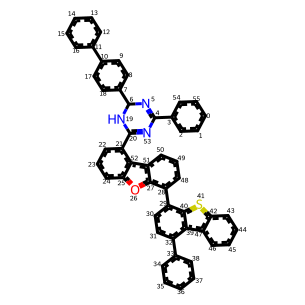 c1ccc(C2=NC(c3ccc(-c4ccccc4)cc3)NC(c3cccc4oc5c(-c6ccc(-c7ccccc7)c7c6sc6ccccc67)cccc5c34)=N2)cc1